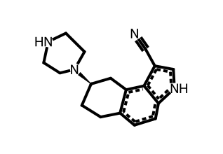 N#Cc1c[nH]c2ccc3c(c12)C[C@H](N1CCNCC1)CC3